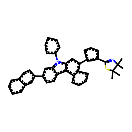 CC1(C)N=C(c2cccc(-c3cc4c(c5ccccc35)c3ccc(-c5ccc6ccccc6c5)cc3n4-c3ccccc3)c2)SC1(C)C